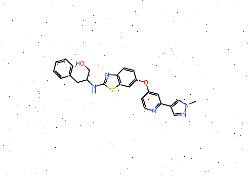 Cn1cc(-c2cc(Oc3ccc4nc(NC(CO)Cc5ccccc5)sc4c3)ccn2)cn1